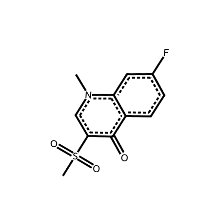 Cn1cc(S(C)(=O)=O)c(=O)c2ccc(F)cc21